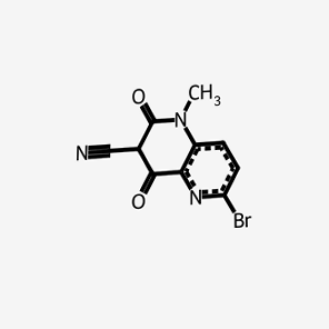 CN1C(=O)C(C#N)C(=O)c2nc(Br)ccc21